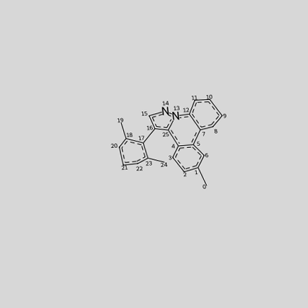 Cc1ccc2c(c1)c1ccccc1n1ncc(-c3c(C)cccc3C)c21